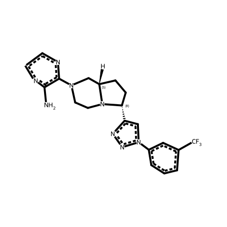 Nc1nccnc1N1CCN2[C@@H](CC[C@@H]2c2cn(-c3cccc(C(F)(F)F)c3)nn2)C1